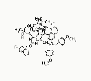 COc1ccc(CN(Cc2ccc(OC)cc2)c2cc3ccc(F)c(C#C[Si](C(C)C)(C(C)C)C(C)C)c3c(-c3nccc4c5c(N6CCOC[C@@](C)(O)C6)nc(OC[C@@]67CCCN6C[C@H](F)C7)nc5n(C)c34)n2)cc1